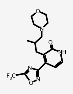 CC(Cc1c(-c2noc(C(F)(F)F)n2)cc[nH]c1=O)CN1CCOCC1